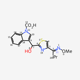 CO/N=C(/c1csc(C(O)c2cn(C(=O)O)c3ccccc23)n1)C(C)C